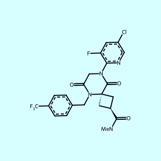 CNC(=O)[C@H]1C[C@@]2(C1)C(=O)N(c1ncc(Cl)cc1F)CC(=O)N2Cc1ccc(C(F)(F)F)cc1